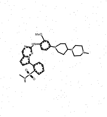 COc1cc(N2CCC(N3CCN(C)CC3)CC2)ccc1Nc1ncc2ccc(-c3ccccc3S(=O)(=O)N(C)C)n2n1